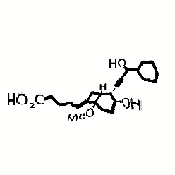 CO[C@@]12CC[C@H](O)[C@@H](C#CC(O)C3CCCCC3)[C@@H]1CC2=CCCCC(=O)O